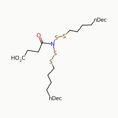 CCCCCCCCCCCCCCSSN(SSCCCCCCCCCCCCCC)C(=O)CCC(=O)O